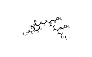 CC=CC(CCC)CCCC(CCC)CCCc1ccc(OCC)c(F)c1F